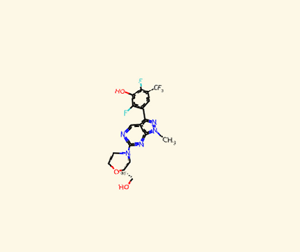 Cn1nc(-c2cc(C(F)(F)F)c(F)c(O)c2F)c2cnc(N3CCO[C@@H](CO)C3)nc21